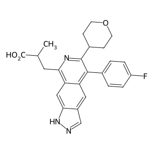 CC(Cc1nc(C2CCOCC2)c(-c2ccc(F)cc2)c2cc3cn[nH]c3cc12)C(=O)O